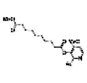 COC(=O)CCCCCCCCC(=O)Oc1c(OC)ccnc1C(C)=O